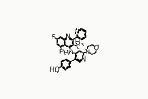 Cc1c(-c2ccccn2)nc2cc(F)cc(F)c2c1Nc1cc(N2CCOCC2)ncc1-c1ccc(O)cc1